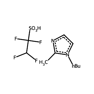 CCCCn1ccnc1C.O=S(=O)(O)C(F)(F)C(F)F